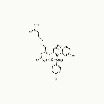 C[C@H](c1ccc(F)cc1CCSCCC(=O)O)N(c1cc(F)ccc1F)S(=O)(=O)c1ccc(Cl)cc1